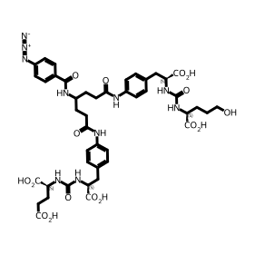 [N-]=[N+]=Nc1ccc(C(=O)NC(CCC(=O)Nc2ccc(C[C@H](NC(=O)N[C@@H](CCCO)C(=O)O)C(=O)O)cc2)CCC(=O)Nc2ccc(C[C@H](NC(=O)N[C@@H](CCC(=O)O)C(=O)O)C(=O)O)cc2)cc1